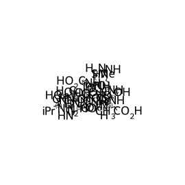 CSCC[C@H](NC(=O)[C@H](CO)NC(=O)[C@H](CCCNC(=N)N)NC(=O)[C@H](CO)NC(=O)[C@H](CCC(=O)O)NC(=O)[C@@H](NC(=O)[C@@H](NC(=O)[C@H](Cc1c[nH]cn1)NC(=O)[C@@H](NC(=O)[C@H](CO)NC(=O)[C@@H](N)CC(C)C)[C@@H](C)O)[C@@H](C)O)[C@@H](C)O)C(=O)N[C@H](C(=O)O)C(C)C